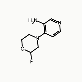 Nc1cnccc1N1CCOC(F)C1